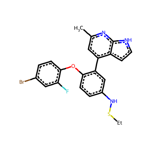 CCSNc1ccc(Oc2ccc(Br)cc2F)c(-c2cc(C)nc3[nH]ccc23)c1